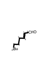 CCC(C)CCCC=CC=O